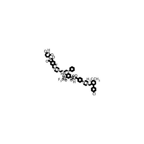 CC1(C)CCC(c2ccc(Cl)cc2)=C(CN2CCN(c3ccc(C(=O)NS(=O)(=O)c4ccc(N[C@H](CCN5CCN(Cc6cc7c(cc6F)C(=O)N(C6CCC(=O)NC6=O)C7=O)CC5)CSc5ccccc5)c(S(=O)(=O)C(F)(F)F)c4)cc3)CC2)C1